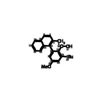 COc1cc(-c2c(C)ccc3ccccc23)c(OO)c(C(C)(C)C)c1